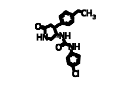 CCc1ccc(C2CC(=O)NC[C@H]2NC(=O)Nc2ccc(Cl)cc2)cc1